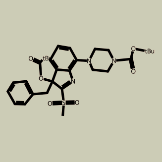 CC(C)(C)OC(=O)N1CCN(c2cccc3c2N=C(S(C)(=O)=O)C3(Cc2ccccc2)OC(=O)C(C)(C)C)CC1